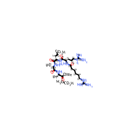 CC(=O)O.COC(=O)[C@@H](NC(=O)[C@@H](NC(=O)[C@H](CCC(=O)O)NC(=O)[C@H](CCCNC(=N)N)NC(=O)CCCCCNC(=N)N)C(C)C)C(C)C